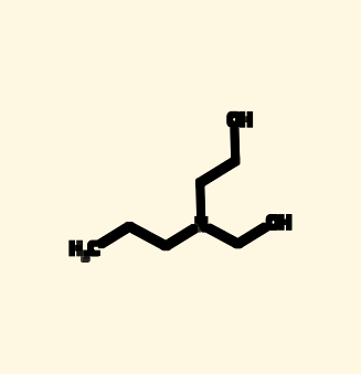 CCCN(CO)CCO